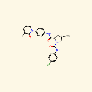 CO[C@@H]1C[C@H](C(=O)Nc2ccc(-n3cccc(C)c3=O)cc2)N(C(=O)Nc2ccc(Cl)cc2)C1